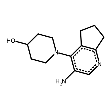 Nc1cnc2c(c1N1CCC(O)CC1)CCC2